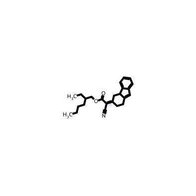 CCCCC(CC)COC(=O)/C(C#N)=C1/CCC2=Cc3ccccc3C2C1